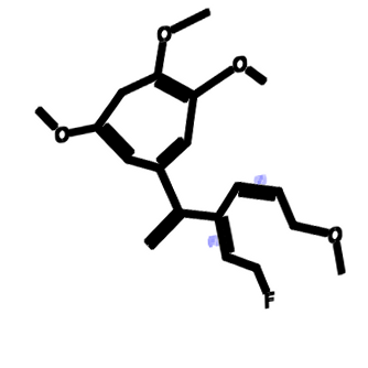 C=C(C1=CC(OC)=C(OC)CC(OC)=C1)C(/C=C\COC)=C/CF